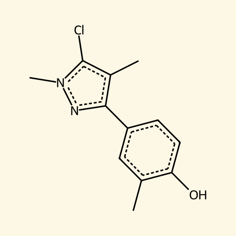 Cc1cc(-c2nn(C)c(Cl)c2C)ccc1O